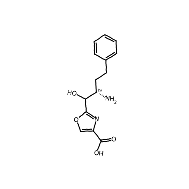 N[C@@H](CCc1ccccc1)C(O)c1nc(C(=O)O)co1